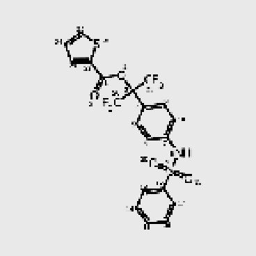 O=C(OC(c1ccc(NS(=O)(=O)c2ccccc2)cc1)(C(F)(F)F)C(F)(F)F)c1cccs1